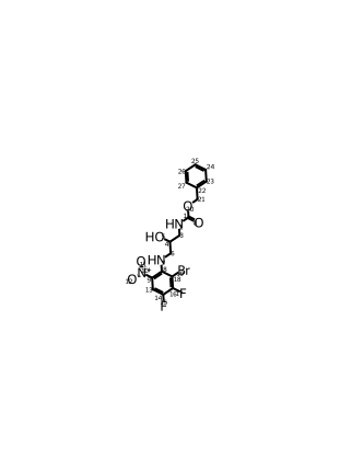 O=C(NCC(O)CNc1c([N+](=O)[O-])cc(F)c(F)c1Br)OCc1ccccc1